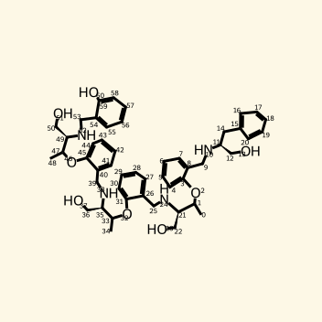 CC(Oc1ccccc1CN[C@H](CO)Cc1ccccc1)[C@@H](CO)NCc1ccccc1OC(C)[C@@H](CO)NCc1ccccc1OC(C)[C@@H](CO)NCc1ccccc1O